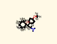 [2H]C([2H])([2H])Oc1ccc([C@@]([2H])(C([2H])([2H])N(C)C)C2(O)C([2H])([2H])C([2H])([2H])C([2H])([2H])C([2H])([2H])C2([2H])[2H])cc1